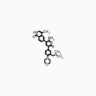 Cc1c[nH]c(=O)c2ccc(-c3cc(-c4ccc(N5CCOCC5)c(CN(C)C)c4)c(F)nc3N)cc12